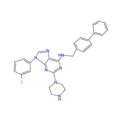 Fc1cccc(-n2cnc3c(NCc4ccc(-c5ccccc5)cc4)nc(N4CCNCC4)nc32)c1